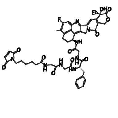 CC[C@@]1(O)C(=O)OCc2c1cc1n(c2=O)Cc2c-1nc1cc(F)c(C)c3c1c2[C@@H](NC(=O)CNC(=O)[C@H](Cc1ccccc1)NC(=O)CNC(=O)CNC(=O)CCCCCN1C(=O)C=CC1=O)CC3